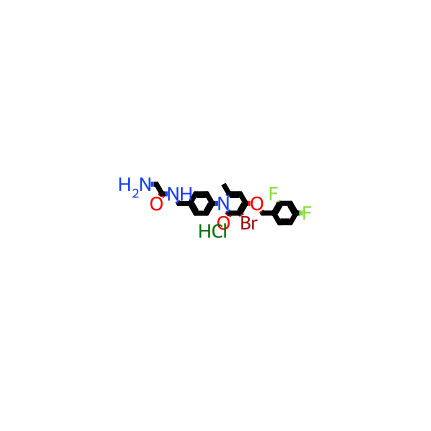 Cc1cc(OCc2ccc(F)cc2F)c(Br)c(=O)n1-c1ccc(CNC(=O)CN)cc1.Cl